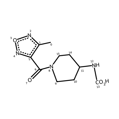 Cc1nonc1C(=O)N1CCC(NC(=O)O)CC1